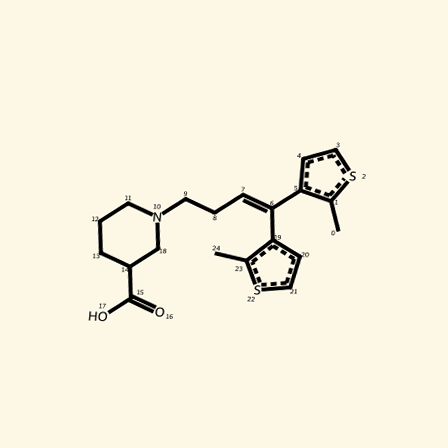 Cc1sccc1C(=CCCN1CCCC(C(=O)O)C1)c1ccsc1C